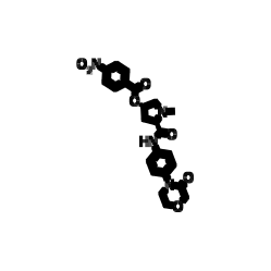 CN1C[C@@H](OC(=O)c2ccc([N+](=O)[O-])cc2)C[C@@H]1C(=O)Nc1ccc(N2CCOCC2=O)cc1